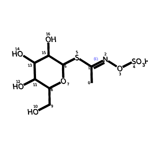 C/C(=N\OS(=O)(=O)O)SC1OC(CO)C(O)C(O)C1O